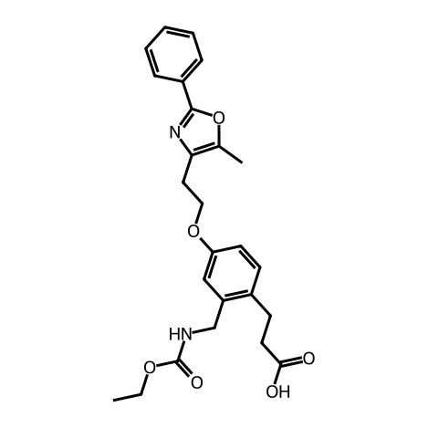 CCOC(=O)NCc1cc(OCCc2nc(-c3ccccc3)oc2C)ccc1CCC(=O)O